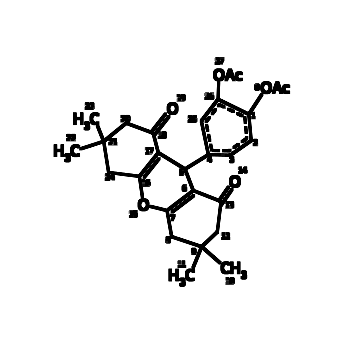 CC(=O)Oc1ccc(C2C3=C(CC(C)(C)CC3=O)OC3=C2C(=O)CC(C)(C)C3)cc1OC(C)=O